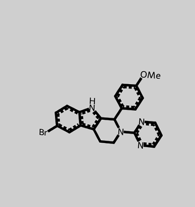 COc1ccc(C2c3[nH]c4ccc(Br)cc4c3CCN2c2ncccn2)cc1